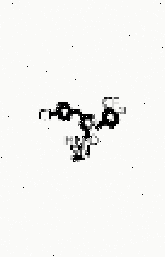 O=C(Nc1nccs1)c1cc(Cc2ccc(Cl)cc2)cn1Cc1cccc(C(F)(F)F)c1